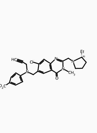 C#CCN(Cc1cc2c(=O)n(C)c(CN3CCC[C@H]3CC)nc2cc1Cl)c1ccc(C(=O)O)cc1